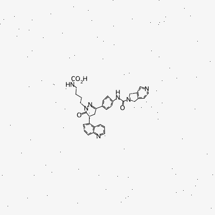 O=C(O)NCCCCN1N=C(c2ccc(NC(=O)N3Cc4ccncc4C3)cc2)CC(c2cccc3ncccc23)C1=O